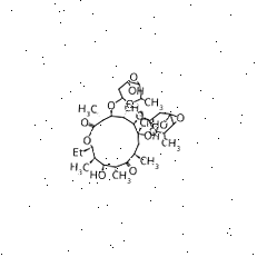 CC[C@H]1OC(=O)[C@H](C)[C@@H](OC2CC3(O)OC3C(C)O2)[C@H](C)[C@@H](OC2CC3(O)OC3C(C)O2)[C@](C)(O)C[C@@H](C)C(=O)[C@H](C)[C@@H](O)[C@H]1C